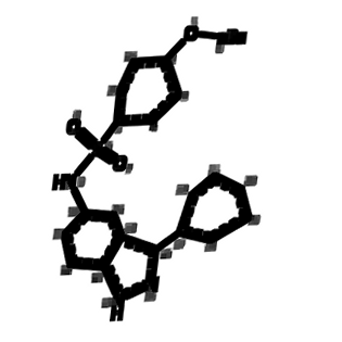 CCCCOc1ccc(S(=O)(=O)Nc2ccc3[nH]nc(-c4ccccc4)c3c2)cc1